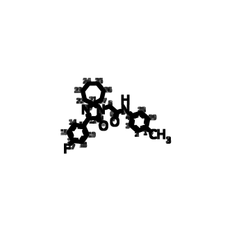 Cc1ccc(NC(=O)CN2C(=O)C(c3ccc(F)cc3)=NC23CCCCCC3)cc1